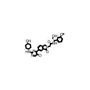 COc1cccc([C@@H](CO)NC(=O)CN2Cc3ccc(-c4nc(N[C@H]5CC[C@H](O)CC5)ncc4Cl)cc3C2=O)c1